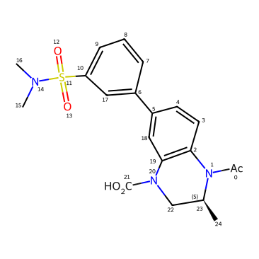 CC(=O)N1c2ccc(-c3cccc(S(=O)(=O)N(C)C)c3)cc2N(C(=O)O)C[C@@H]1C